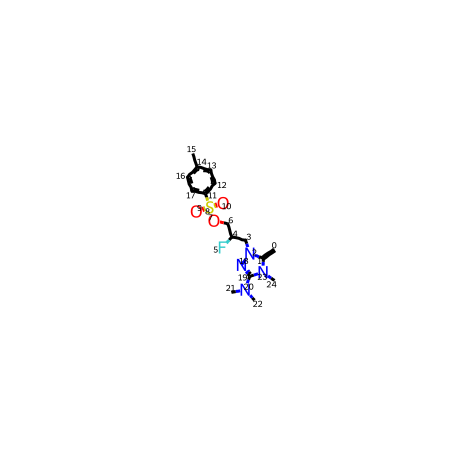 C=C1N(CC(F)COS(=O)(=O)c2ccc(C)cc2)N=C(N(C)C)N1C